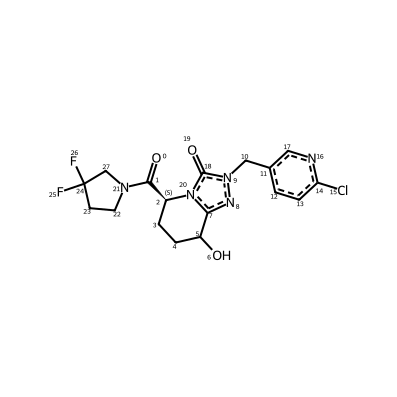 O=C([C@@H]1CCC(O)c2nn(Cc3ccc(Cl)nc3)c(=O)n21)N1CCC(F)(F)C1